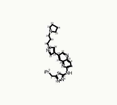 CC(C)Cc1nnc(Nc2ccc3ncc(-c4cnn(CCCN5CCCC5)c4)cc3n2)s1